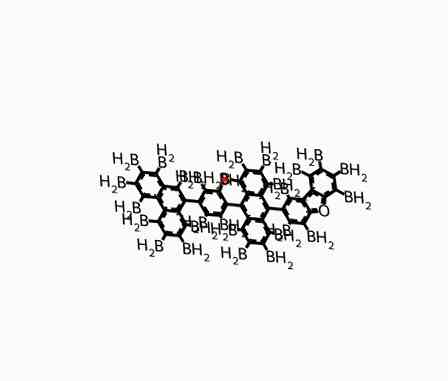 Bc1c(B)c(-c2c(B)c3c(B)c(B)c(B)c(B)c3c3c(B)c(B)c(B)c(B)c23)c(B)c(B)c1-c1c2c(B)c(B)c(B)c(B)c2c(-c2c(B)c(B)c3oc4c(B)c(B)c(B)c(B)c4c3c2B)c2c(B)c(B)c(B)c(B)c12